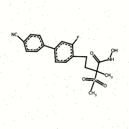 CC(CCc1ccc(-c2ccc(C#N)cc2)cc1F)(C(=O)NO)S(C)(=O)=O